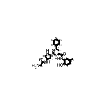 Cc1ccc(O)c(NC(=O)[C@@H](CCc2ccccc2)NC(=O)[C@@H]2C[C@@H](NC(=O)CN)CN2)c1